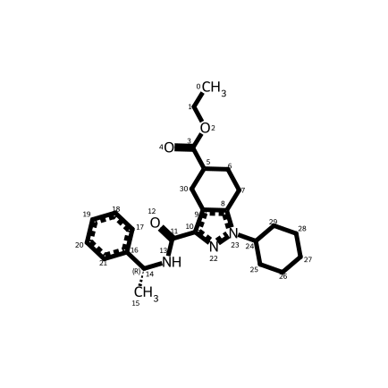 CCOC(=O)C1CCc2c(c(C(=O)N[C@H](C)c3ccccc3)nn2C2CCCCC2)C1